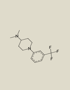 CN(C)C1CCN(c2cccc(C(F)(F)F)c2)CC1